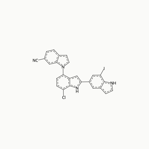 N#Cc1ccc2ccn(-c3ccc(Cl)c4[nH]c(-c5cc(I)c6[nH]ccc6c5)cc34)c2c1